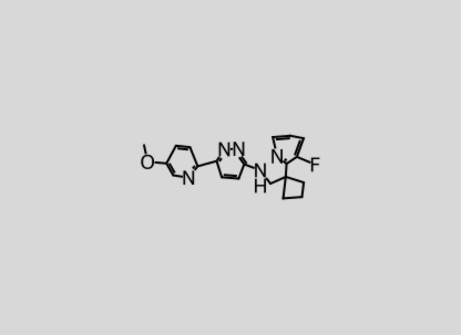 COc1ccc(-c2ccc(NCC3(c4ncccc4F)CCC3)nn2)nc1